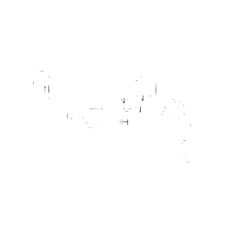 c1ccc(Oc2ccc(-c3cccc4nc(Nc5ccc(OCCN6CCCC6)cc5)nn34)cc2)cc1